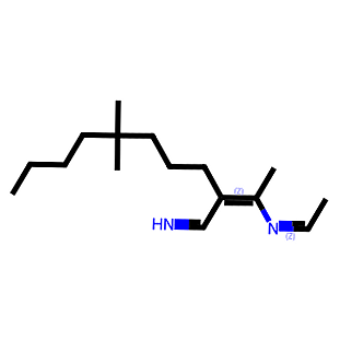 C/C=N\C(C)=C(/C=N)CCCC(C)(C)CCCC